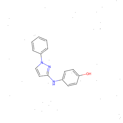 Oc1ccc(Nc2ccn(-c3ccccc3)n2)cc1